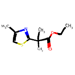 CCOC(=O)C(C)(C)c1nc(C)cs1